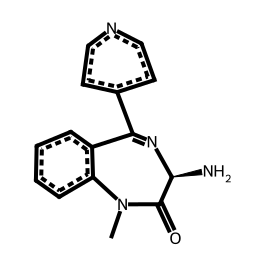 CN1C(=O)[C@H](N)N=C(c2ccncc2)c2ccccc21